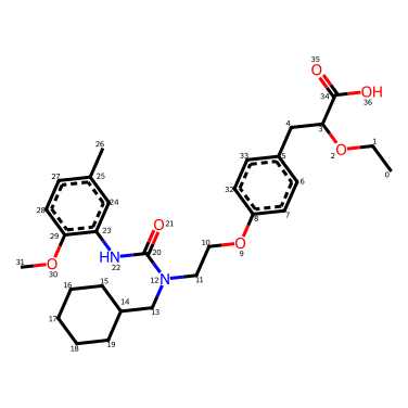 CCOC(Cc1ccc(OCCN(CC2CCCCC2)C(=O)Nc2cc(C)ccc2OC)cc1)C(=O)O